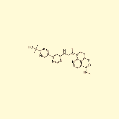 CNC(=O)c1ccnc2c([C@H](C)CNc3cc(-c4ccc(C(C)(C)O)nc4)ncn3)ccc(F)c12